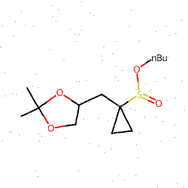 CCCCOS(=O)C1(CC2COC(C)(C)O2)CC1